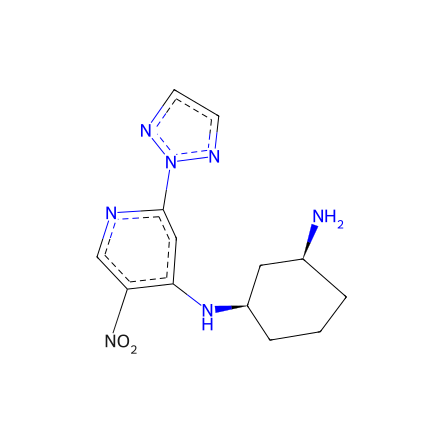 N[C@H]1CCC[C@@H](Nc2cc(-n3nccn3)ncc2[N+](=O)[O-])C1